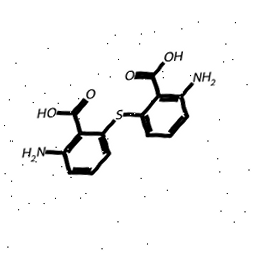 Nc1cccc(Sc2cccc(N)c2C(=O)O)c1C(=O)O